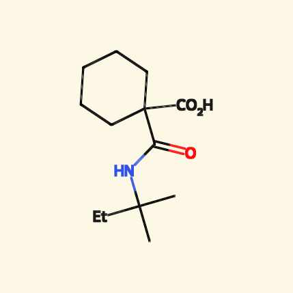 CCC(C)(C)NC(=O)C1(C(=O)O)CCCCC1